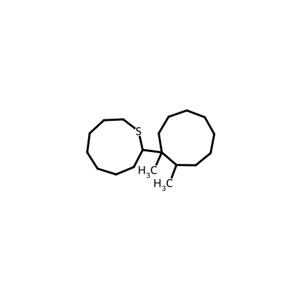 CC1CCCCCCCC1(C)C1CCCCCCCS1